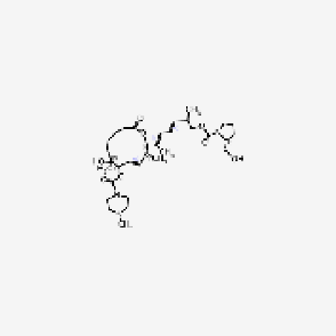 C/C(=C\C=C\C(C)COC(=O)N1CCC[C@@H]1CO)[C@H]1OC(=O)CCCC[C@](C)(O)[C@@H](OC(=O)N2CCN(C)CC2)/C=C/[C@@H]1C